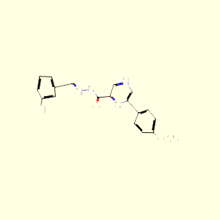 COc1ccc(-c2cncc(C(=O)NN=Cc3cccc(C(F)(F)F)c3)n2)cc1